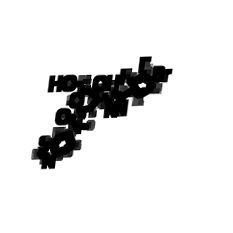 CN(C(=O)[C@H]1C[C@@H](n2cc(-c3ccc(Br)c(F)c3F)nn2)[C@@H](O)[C@@H](CO)O1)c1ccc2ncsc2c1